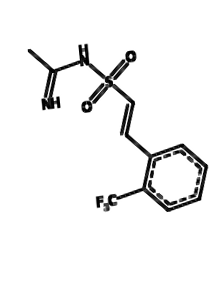 CC(=N)NS(=O)(=O)C=Cc1ccccc1C(F)(F)F